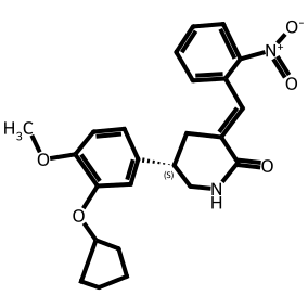 COc1ccc([C@H]2CNC(=O)C(=Cc3ccccc3[N+](=O)[O-])C2)cc1OC1CCCC1